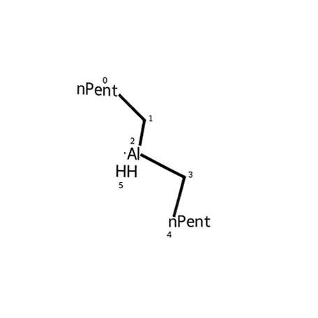 CCCCC[CH2][Al][CH2]CCCCC.[HH]